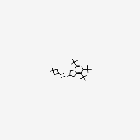 CC(C)(C)C1=NC(C(C)(C)C)C(C(C)(C)C)=C2CC(NS(=O)(=O)C3CC(F)(F)C3)CN12